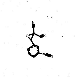 N#Cc1cccc(C2OC2(C#N)C#N)c1